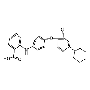 O=C(O)c1ccccc1Nc1ccc(Oc2ccc(C3CCCCC3)cc2Cl)cc1